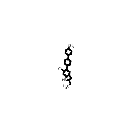 CCc1cc2cc(-c3ccc(-c4ccc(C)cc4)cc3)c(Cl)cc2[nH]1